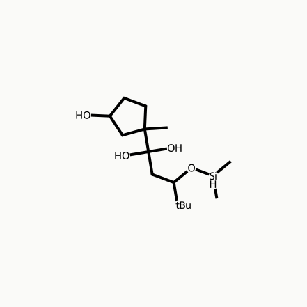 C[SiH](C)OC(CC(O)(O)C1(C)CCC(O)C1)C(C)(C)C